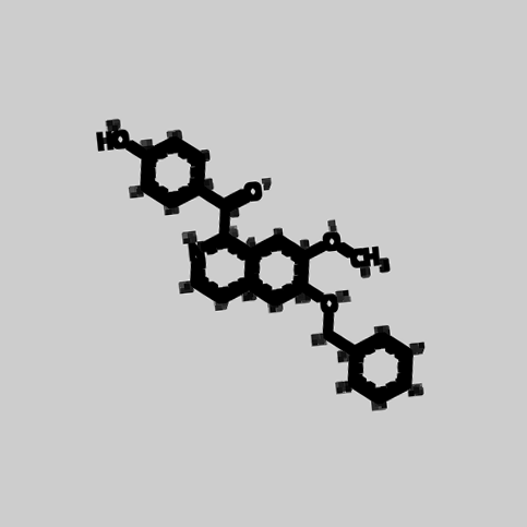 COc1cc2c(C(=O)c3ccc(O)cc3)nccc2cc1OCc1ccccc1